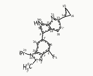 Cc1nc2c(F)cc(-c3c[nH]c4nc(C5CC5)ccc34)cc2n1C(C)C